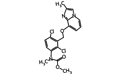 COC(=O)N(C)c1ccc(Cl)c(COc2cccn3cc(C)nc23)c1Cl